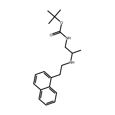 CC(CNC(=O)OC(C)(C)C)NCCc1cccc2ccccc12